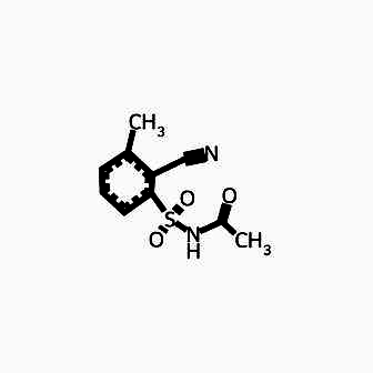 CC(=O)NS(=O)(=O)c1cccc(C)c1C#N